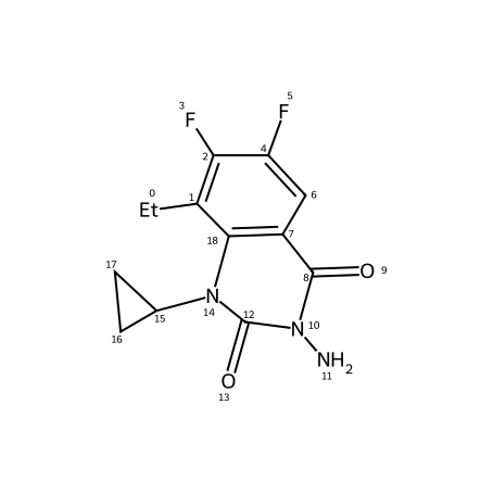 CCc1c(F)c(F)cc2c(=O)n(N)c(=O)n(C3CC3)c12